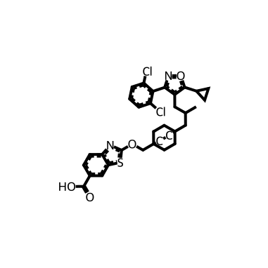 CC(Cc1c(-c2c(Cl)cccc2Cl)noc1C1CC1)CC12CCC(COc3nc4ccc(C(=O)O)cc4s3)(CC1)CC2